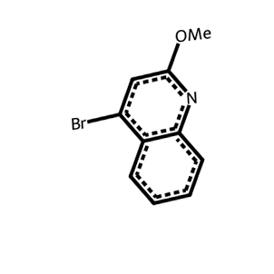 COc1cc(Br)c2ccccc2n1